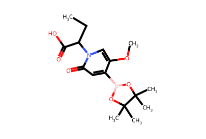 CCC(C(=O)O)n1cc(OC)c(B2OC(C)(C)C(C)(C)O2)cc1=O